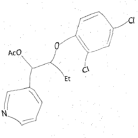 CCC(Oc1ccc(Cl)cc1Cl)C(OC(C)=O)c1cccnc1